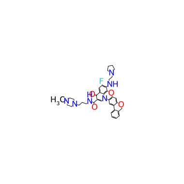 CN1CCN(CCCNC(=O)c2cn3c4c(c(NCCN5CCCC5)c(F)cc4c2=O)Oc2cc4c(cc2-3)-c2ccccc2CO4)CC1